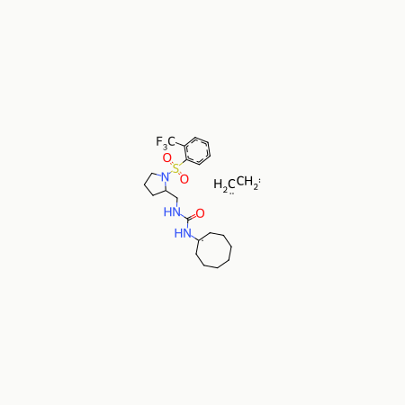 O=C(NCC1CCCN1S(=O)(=O)c1ccccc1C(F)(F)F)N[C]1CCCCCCC1.[CH2].[CH2]